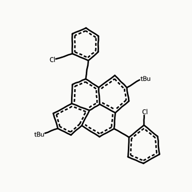 CC(C)(C)c1cc2cc(-c3ccccc3Cl)c3cc(C(C)(C)C)cc4c(-c5ccccc5Cl)cc(c1)c2c34